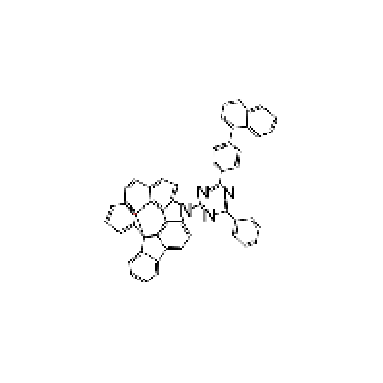 c1ccc(-c2nc(-c3ccc(-c4cccc5ccccc45)cc3)nc(-n3c4ccc5c6c4c4c7c(cccc7ccc43)C6(c3ccccc3)c3ccccc3-5)n2)cc1